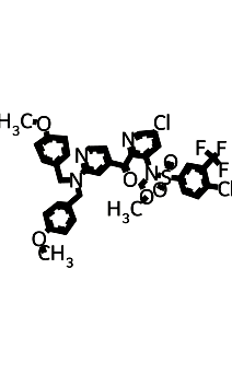 COCN(c1cc(Cl)cnc1C(=O)c1ccnc(N(Cc2ccc(OC)cc2)Cc2ccc(OC)cc2)c1)S(=O)(=O)c1ccc(Cl)c(C(F)(F)F)c1